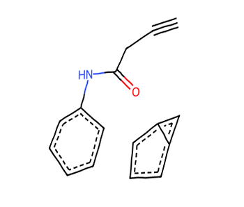 C#CCC(=O)Nc1ccccc1.c1cc2cc-2c1